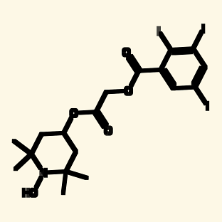 CC1(C)CC(OC(=O)COC(=O)c2cc(I)cc(I)c2I)CC(C)(C)N1O